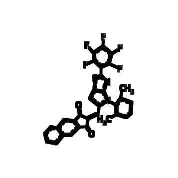 Cc1cccc(C)c1-n1c(C=C2C(=O)c3cc4ccccc4cc3C2=O)cc2sc(-c3c(F)c(F)c(F)c(F)c3F)nc21